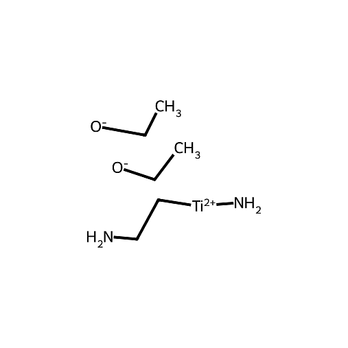 CC[O-].CC[O-].NC[CH2][Ti+2][NH2]